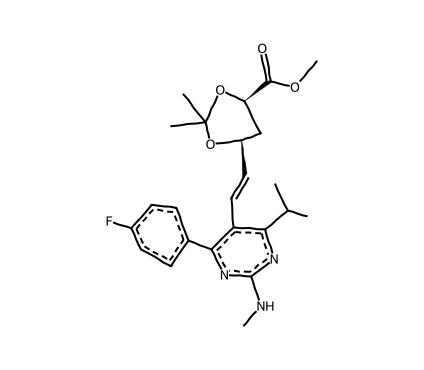 CNc1nc(-c2ccc(F)cc2)c(/C=C/[C@@H]2C[C@H](C(=O)OC)OC(C)(C)O2)c(C(C)C)n1